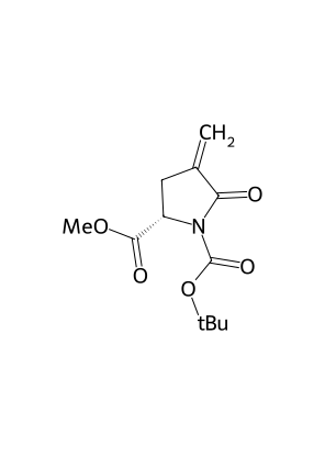 C=C1C[C@@H](C(=O)OC)N(C(=O)OC(C)(C)C)C1=O